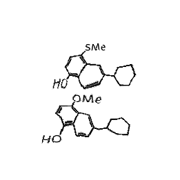 COc1ccc(O)c2ccc(C3CCCCC3)cc12.CSc1ccc(O)c2ccc(C3CCCCC3)cc12